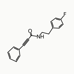 O=C(C#Cc1ccccc1)NCCc1ccc(F)cc1